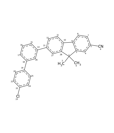 CC1(C)c2cc(C#N)ccc2-c2ccc(-c3cccc(-c4ccc(Cl)cc4)c3)cc21